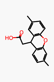 Cc1ccc2c(c1)Oc1ccc(C)cc1C2CC(=O)O